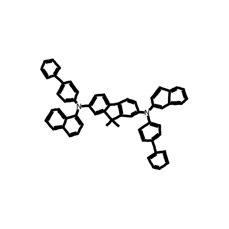 CC1(C)c2cc(N(c3ccc(-c4ccccc4)cc3)c3ccc4ccccc4c3)ccc2-c2ccc(N(c3ccc(-c4ccccc4)cc3)c3cccc4ccccc34)cc21